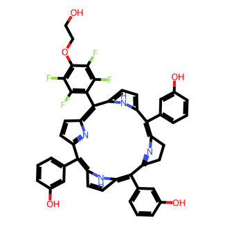 OCCOc1c(F)c(F)c(-c2c3nc(c(-c4cccc(O)c4)c4ccc([nH]4)c(-c4cccc(O)c4)c4nc(c(-c5cccc(O)c5)c5ccc2[nH]5)CC4)C=C3)c(F)c1F